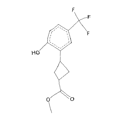 COC(=O)C1CC(c2cc(C(F)(F)F)ccc2O)C1